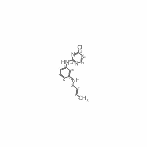 CC=CCNc1cccc(Nc2ncnc(Cl)n2)c1